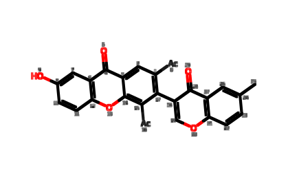 CC(=O)c1cc2c(=O)c3cc(O)ccc3oc2c(C(C)=O)c1-c1coc2ccc(C)cc2c1=O